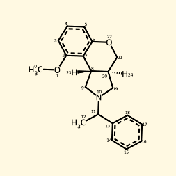 COc1cccc2c1[C@H]1CN(C(C)c3ccccc3)C[C@@H]1CO2